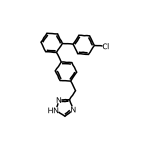 Clc1ccc(-c2ccccc2-c2ccc(Cc3nc[nH]n3)cc2)cc1